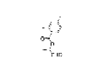 Cc1ccc(C(=O)OC(C)C=O)c(C)c1